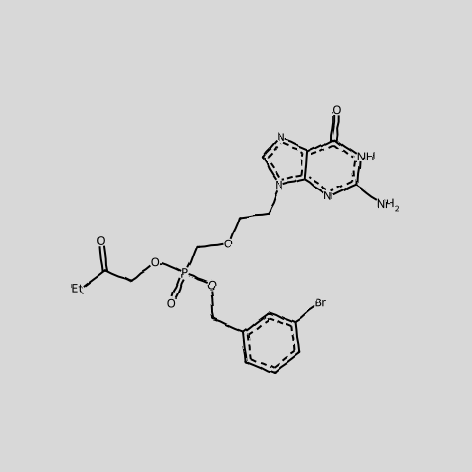 CCC(=O)COP(=O)(COCCn1cnc2c(=O)[nH]c(N)nc21)OCc1cccc(Br)c1